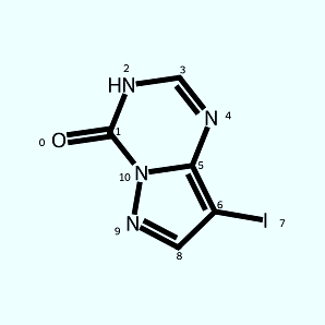 O=c1[nH]cnc2c(I)cnn12